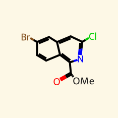 COC(=O)c1nc(Cl)cc2cc(Br)ccc12